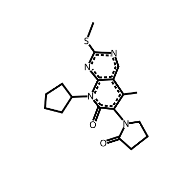 CSc1ncc2c(C)c(N3CCCC3=O)c(=O)n(C3CCCC3)c2n1